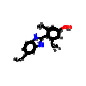 Cc1ccc2c(c1)NC(c1c(C)cc(O)cc1C)N2